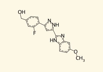 COc1ccc2[nH]c(-c3cc(-c4ccc(CO)cc4F)n[nH]3)nc2c1